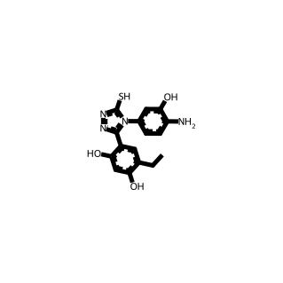 CCc1cc(-c2nnc(S)n2-c2ccc(N)c(O)c2)c(O)cc1O